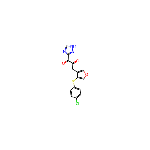 O=C(Cc1cocc1Sc1ccc(Cl)cc1)C(=O)c1nc[nH]n1